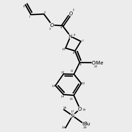 C=CCOC(=O)N1CC(=C(OC)c2cccc(O[Si](C)(C)C(C)(C)C)c2)C1